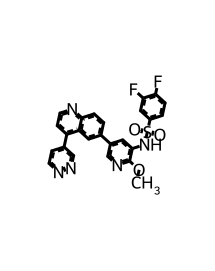 COc1ncc(-c2ccc3nccc(-c4ccnnc4)c3c2)cc1NS(=O)(=O)c1ccc(F)c(F)c1